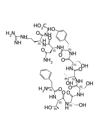 C[C@@H](O)[C@H](NC(=O)[C@H](CO)NC(=O)[C@H](CO)NC(=O)[C@@H](NC(=O)[C@@H](N)Cc1ccccc1)[C@@H](C)O)C(=O)N[C@@H](CO)C(=O)N[C@@H](Cc1ccc(O)cc1)C(=O)N[C@@H](CC(N)=O)C(=O)N[C@@H](CCCNC(=N)N)C(=O)NCC(=O)O